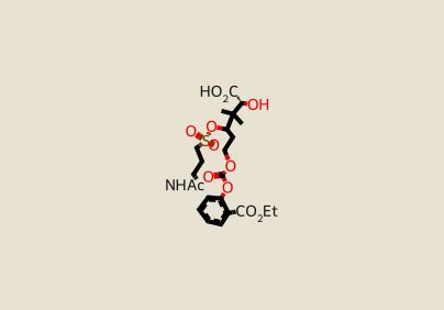 CCOC(=O)c1ccccc1OC(=O)OCCC(OS(=O)(=O)CCCNC(C)=O)C(C)(C)[C@@H](O)C(=O)O